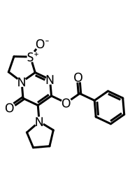 O=C(Oc1nc2n(c(=O)c1N1CCCC1)CC[S+]2[O-])c1ccccc1